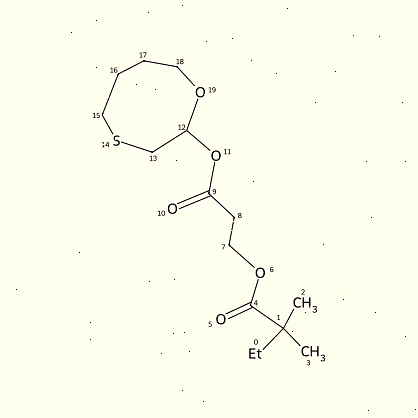 CCC(C)(C)C(=O)OCCC(=O)OC1CSCCCCO1